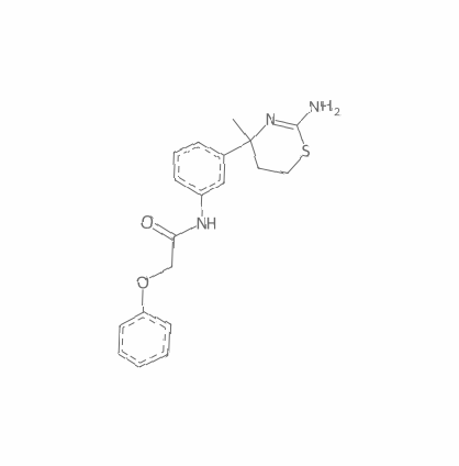 CC1(c2cccc(NC(=O)COc3ccccc3)c2)CCSC(N)=N1